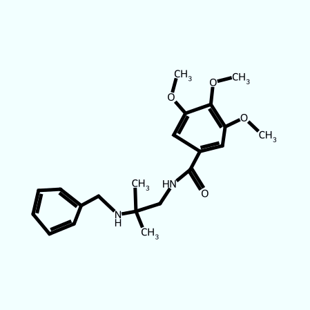 COc1cc(C(=O)NCC(C)(C)NCc2ccccc2)cc(OC)c1OC